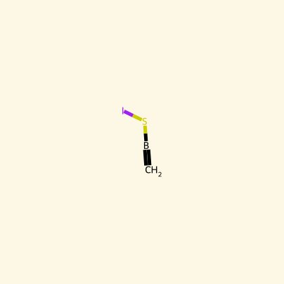 C=BSI